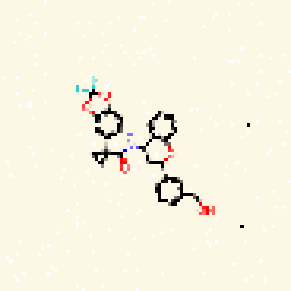 O=C(NC1C[C@H](c2cccc(CO)c2)Oc2ccccc21)C1(c2ccc3c(c2)OC(F)(F)O3)CC1